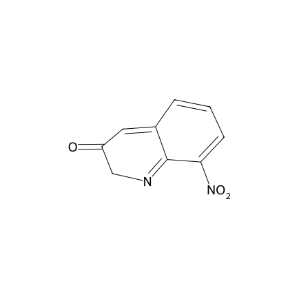 O=C1C=c2cccc([N+](=O)[O-])c2=NC1